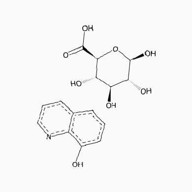 O=C(O)[C@H]1O[C@@H](O)[C@H](O)[C@@H](O)[C@@H]1O.Oc1cccc2cccnc12